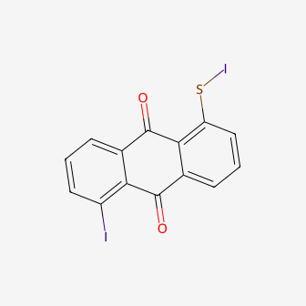 O=C1c2cccc(SI)c2C(=O)c2cccc(I)c21